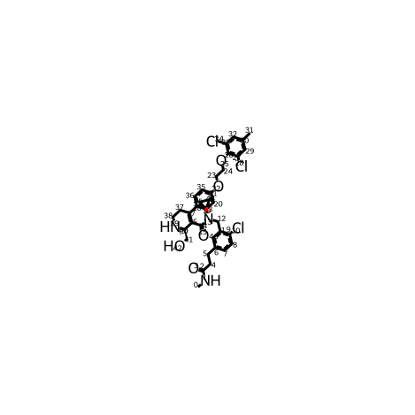 CNC(=O)CCc1ccc(Cl)c(CN(C(=O)C2=C(c3ccc(OCCOc4c(Cl)cc(C)cc4Cl)cc3)CCN[C@@H]2CO)C2CC2)c1